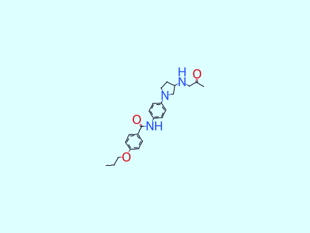 CCCOc1ccc(C(=O)Nc2ccc(N3CCC(NCC(C)=O)C3)cc2)cc1